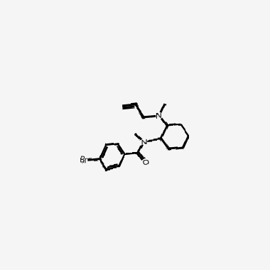 C=CCN(C)C1CCCCC1N(C)C(=O)c1ccc(Br)cc1